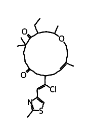 CCC1CC(C)OCCC(C)=CCC(C(Cl)=Cc2csc(C)n2)CC(=O)CCC(C)(C)C1=O